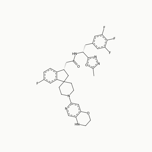 Cc1nnc([C@@H](Cc2cc(F)c(F)c(F)c2)NC(=O)C[C@@H]2CC3(CCN(c4cc5c(cn4)NCCO5)CC3)c3cc(F)ccc32)o1